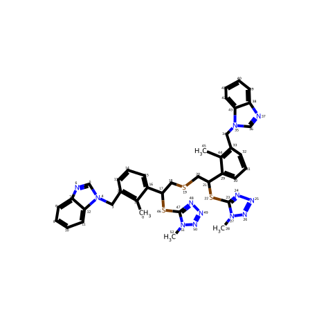 Cc1c(Cn2cnc3ccccc32)cccc1C(CSCC(Sc1nnnn1C)c1cccc(Cn2cnc3ccccc32)c1C)Sc1nnnn1C